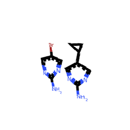 Nc1ncc(Br)cn1.Nc1ncc(C2CC2)cn1